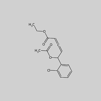 CCOC(=O)C=C=CC(OC(C)=O)c1ccccc1Cl